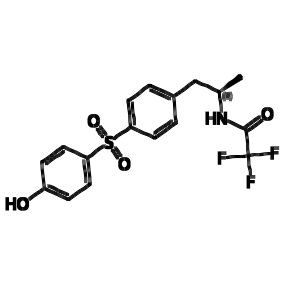 C[C@H](Cc1ccc(S(=O)(=O)c2ccc(O)cc2)cc1)NC(=O)C(F)(F)F